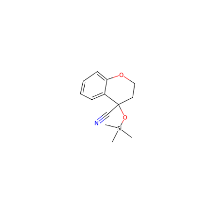 C[Si](C)(C)OC1(C#N)CCOc2ccccc21